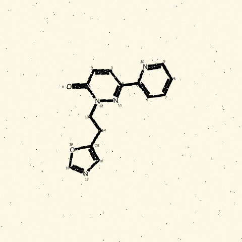 O=c1ccc(-c2ccccn2)nn1CCc1cnco1